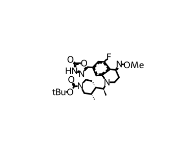 CO/N=C1\CCN([C@@H](C)[C@H]2CCN(C(=O)OC(C)(C)C)C[C@H]2C)c2cc(-c3n[nH]c(=O)o3)cc(F)c21